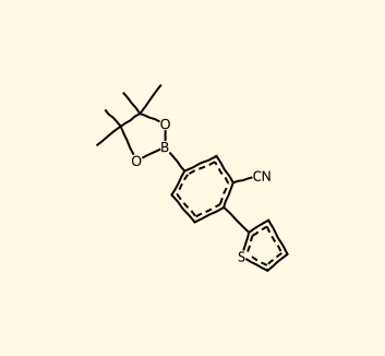 CC1(C)OB(c2ccc(-c3cccs3)c(C#N)c2)OC1(C)C